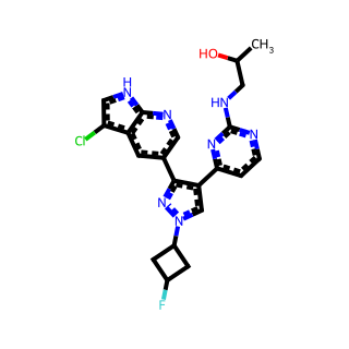 CC(O)CNc1nccc(-c2cn(C3CC(F)C3)nc2-c2cnc3[nH]cc(Cl)c3c2)n1